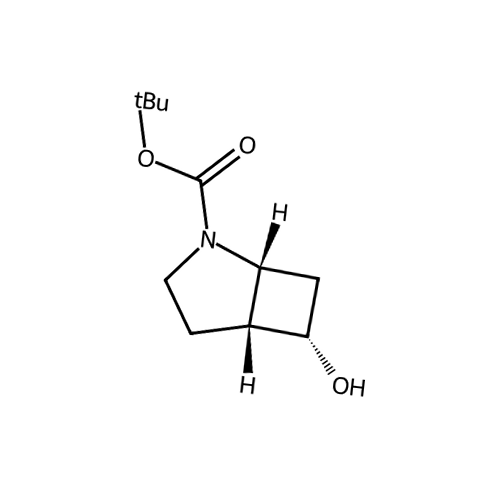 CC(C)(C)OC(=O)N1CC[C@@H]2[C@H]1C[C@@H]2O